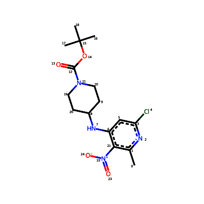 Cc1nc(Cl)cc(NC2CCN(C(=O)OC(C)(C)C)CC2)c1[N+](=O)[O-]